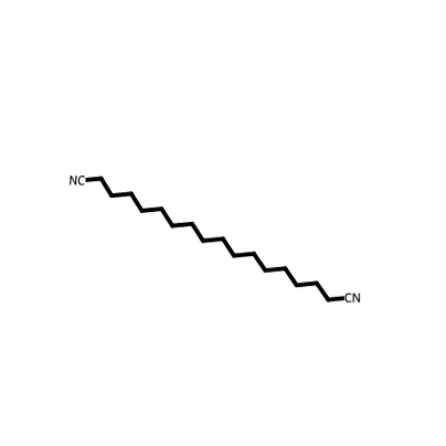 N#CCCCCCCCCCCCCCCCCC#N